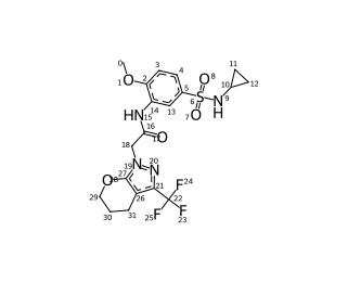 COc1ccc(S(=O)(=O)NC2CC2)cc1NC(=O)Cn1nc(C(F)(F)F)c2c1OCCC2